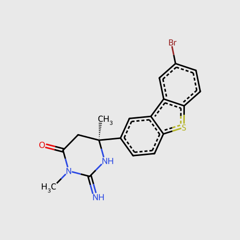 CN1C(=N)N[C@](C)(c2ccc3sc4ccc(Br)cc4c3c2)CC1=O